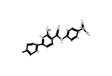 Cc1ccc(-c2ccc(C(=O)Oc3ccc([N+](=O)[O-])cc3)c(O)n2)cc1